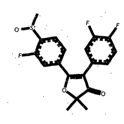 C[S+]([O-])c1ccc(C2=C(c3ccc(F)c(F)c3)C(=O)C(C)(C)O2)cc1F